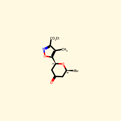 CCOC(=O)c1noc([C@@H]2CC(=O)C[C@H](C(C)(C)C)O2)c1C